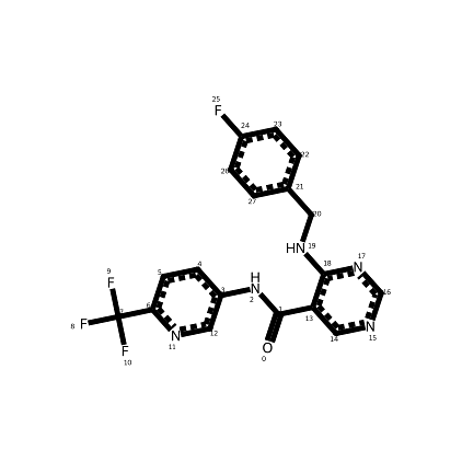 O=C(Nc1ccc(C(F)(F)F)nc1)c1cncnc1NCc1ccc(F)cc1